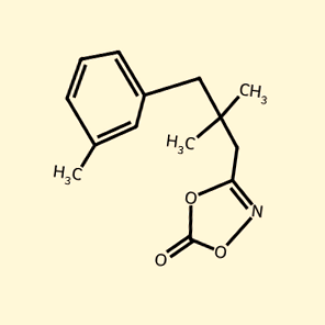 Cc1cccc(CC(C)(C)Cc2noc(=O)o2)c1